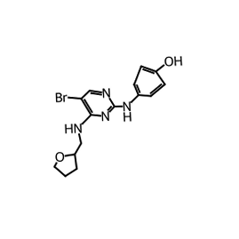 Oc1ccc(Nc2ncc(Br)c(NCC3CCCO3)n2)cc1